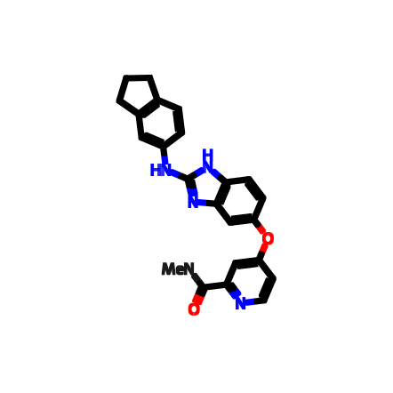 CNC(=O)c1cc(Oc2ccc3[nH]c(Nc4ccc5c(c4)CCC5)nc3c2)ccn1